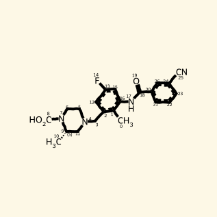 Cc1c(CN2CCN(C(=O)O)[C@@H](C)C2)cc(F)cc1NC(=O)c1cccc(C#N)c1